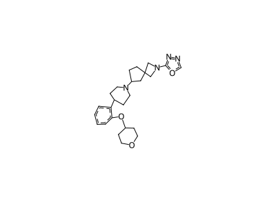 c1ccc(C2CCN(C3CCC4(C3)CN(c3nnco3)C4)CC2)c(OC2CCOCC2)c1